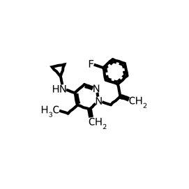 C=C(CN1N=CC(NC2CC2)=C(CC)C1=C)c1cccc(F)c1